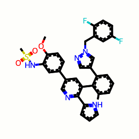 COc1ccc(-c2cnc(-c3ccc[nH]3)c(-c3c(C)cccc3-c3cnn(Cc4cc(F)ccc4F)c3)c2)cc1NS(C)(=O)=O